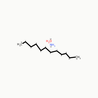 CCCCCCCCCCCC.N.O